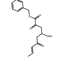 C/C=C/C(=O)CC(CC(=O)C(=O)OCc1ccccc1)OC